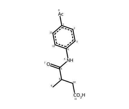 CC(=O)c1ccc(NC(=O)C(C)CC(=O)O)cc1